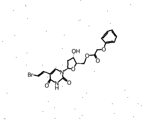 O=C(COc1ccccc1)OC[C@H]1O[C@@H](n2cc(/C=C/Br)c(=O)[nH]c2=O)C[C@@H]1O